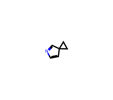 C1=CC2(C=N1)CC2